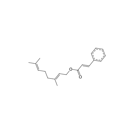 CC(C)=CCC/C(C)=C/COC(=O)/C=C/c1ccccc1